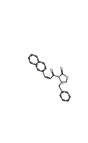 O=C(/C=C\c1ccc2ccccc2c1)N1C(=O)OC[C@H]1Cc1ccccc1